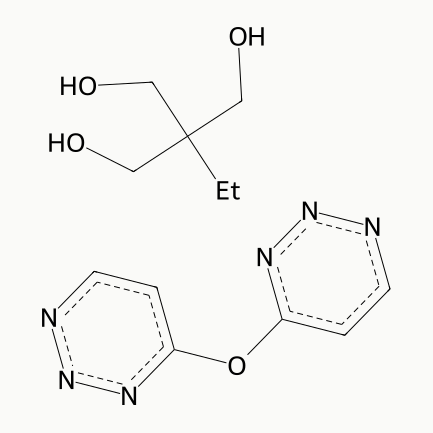 CCC(CO)(CO)CO.c1cc(Oc2ccnnn2)nnn1